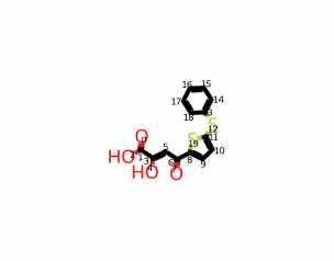 O=C(O)C(O)=CC(=O)c1ccc(Sc2ccccc2)s1